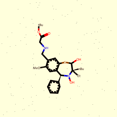 CCCC[C@]1(CC)C(O)Sc2cc(CNCC(=O)OC(C)(C)C)c(OC)cc2[C@H](c2ccccc2)N1O